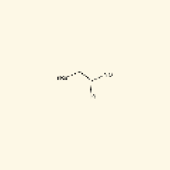 CCCCCC(N=O)C(C)C